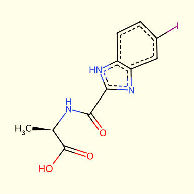 C[C@@H](NC(=O)c1nc2cc(I)ccc2[nH]1)C(=O)O